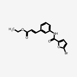 CCOC(=O)C=Cc1cccc(NC(=O)c2ccc(Br)o2)c1